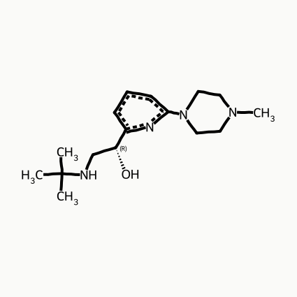 CN1CCN(c2cccc([C@H](O)CNC(C)(C)C)n2)CC1